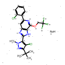 Cn1nc(C(C)(C)C)c(Cl)c1-c1nc2cc(-c3ccccc3Cl)nc(OCC(F)(F)F)c2[nH]1.[NaH]